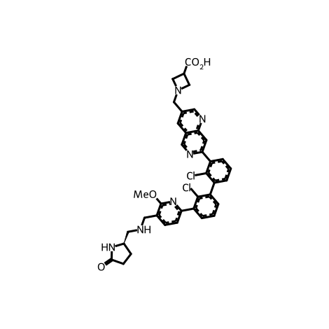 COc1nc(-c2cccc(-c3cccc(-c4cc5ncc(CN6CC(C(=O)O)C6)cc5cn4)c3Cl)c2Cl)ccc1CNC[C@H]1CCC(=O)N1